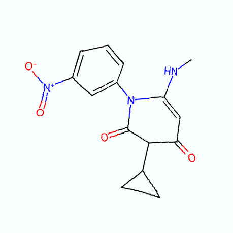 CNC1=CC(=O)C(C2CC2)C(=O)N1c1cccc([N+](=O)[O-])c1